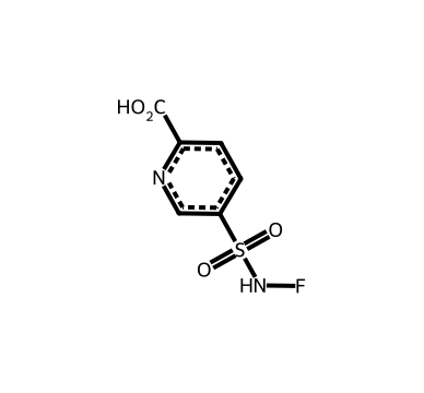 O=C(O)c1ccc(S(=O)(=O)NF)cn1